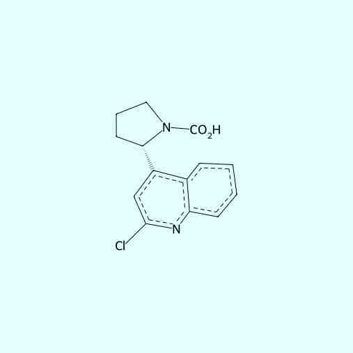 O=C(O)N1CCC[C@H]1c1cc(Cl)nc2ccccc12